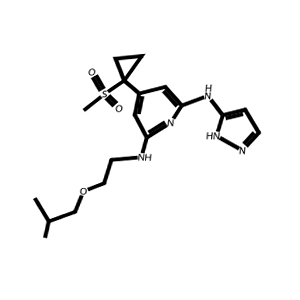 CC(C)COCCNc1cc(C2(S(C)(=O)=O)CC2)cc(Nc2ccn[nH]2)n1